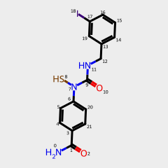 NC(=O)c1ccc(N(S)C(=O)NCc2cccc(I)c2)cc1